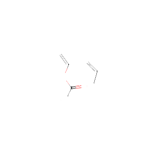 C=CC.C=COC(=O)CC